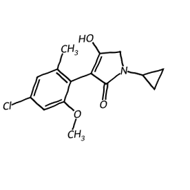 COc1cc(Cl)cc(C)c1C1=C(O)CN(C2CC2)C1=O